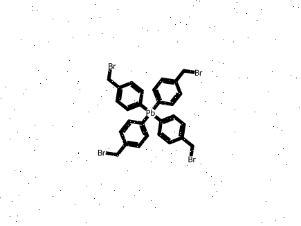 BrCc1cc[c]([Pb]([c]2ccc(CBr)cc2)([c]2ccc(CBr)cc2)[c]2ccc(CBr)cc2)cc1